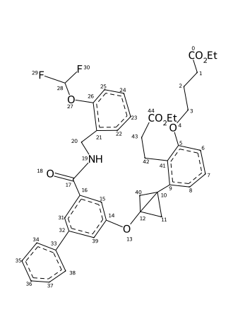 CCOC(=O)CCCOc1cccc(C23CC2(Oc2cc(C(=O)NCc4ccccc4OC(F)F)cc(-c4ccccc4)c2)C3)c1CCC(=O)OCC